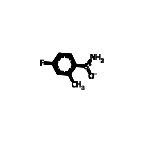 Cc1cc(F)ccc1[S+](N)[O-]